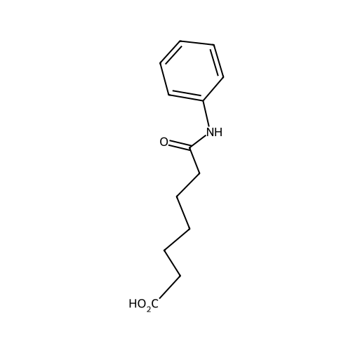 O=C(O)CCCCCC(=O)Nc1ccccc1